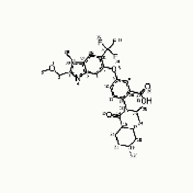 COCc1nc2cc(Oc3ccc(N(C(=O)[C@H]4CC[C@H](C)CC4)C(C)C)c(C(=O)O)c3)c(C(F)(F)F)cc2n1C